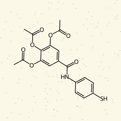 CC(=O)Oc1cc(C(=O)Nc2ccc(S)cc2)cc(OC(C)=O)c1OC(C)=O